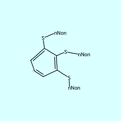 CCCCCCCCCSc1c[c]cc(SCCCCCCCCC)c1SCCCCCCCCC